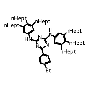 CCCCCCCc1cc(Nc2nc(Nc3cc(CCCCCCC)c(CCCCCCC)c(CCCCCCC)c3)nc(-c3ccc(CC)cc3)n2)cc(CCCCCCC)c1CCCCCCC